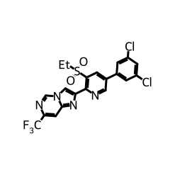 CCS(=O)(=O)c1cc(-c2cc(Cl)cc(Cl)c2)cnc1-c1cn2cnc(C(F)(F)F)cc2n1